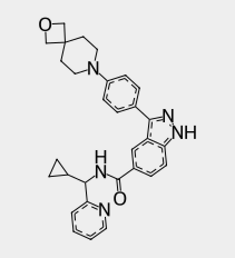 O=C(NC(c1ccccn1)C1CC1)c1ccc2[nH]nc(-c3ccc(N4CCC5(CC4)COC5)cc3)c2c1